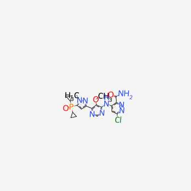 COc1c(Nc2cc(Cl)nnc2C(N)=O)ncnc1-c1cc(P(=O)(C2CC2)C2CC2)n(C)n1